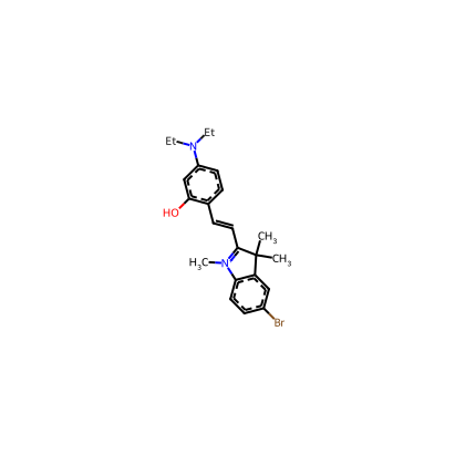 CCN(CC)c1ccc(/C=C/C2=[N+](C)c3ccc(Br)cc3C2(C)C)c(O)c1